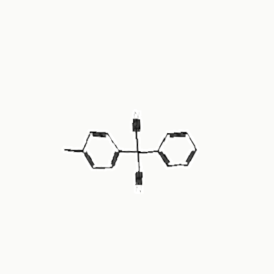 Cc1ccc(C(C#N)(C#N)c2ccccc2)cc1